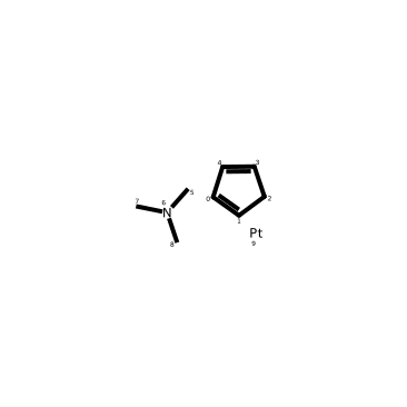 C1=CCC=C1.CN(C)C.[Pt]